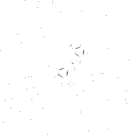 COP(=O)(Cc1cc(Cl)ccc1NC(=O)Nc1ccc(Cl)c(C(F)(F)F)c1)OC